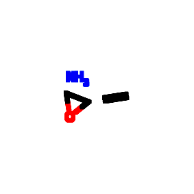 C1CO1.C=C.N